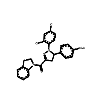 COc1ccc(C2CC(C(=O)N3CCc4ccccc43)=NN2c2ccc(Cl)cc2Cl)cc1